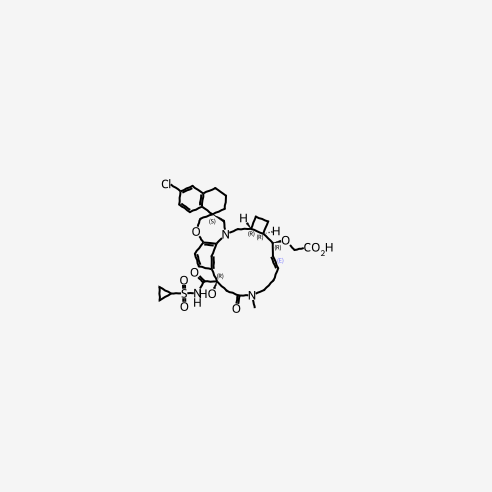 CN1CC/C=C/[C@H](OCC(=O)O)[C@@H]2CC[C@H]2CN2C[C@@]3(CCCc4cc(Cl)ccc43)COc3ccc(cc32)[C@@](O)(C(=O)NS(=O)(=O)C2CC2)CC1=O